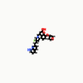 O=C(O)CC(CN1CC[C@@](F)(CCc2ccc3c(n2)NCCC3)C1)c1cccc(OC2CCOCC2)c1